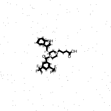 O=C(O)CCCN1CCN(C(=O)c2cc(C(F)(F)F)cc(C(F)(F)F)c2)[C@H](Cc2c[nH]c3ccccc23)C1